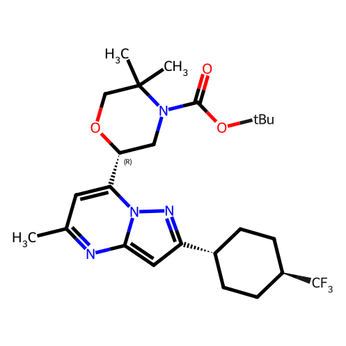 Cc1cc([C@H]2CN(C(=O)OC(C)(C)C)C(C)(C)CO2)n2nc([C@H]3CC[C@H](C(F)(F)F)CC3)cc2n1